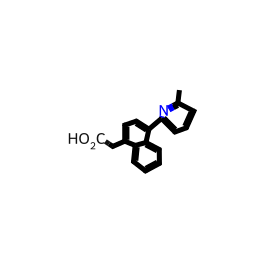 Cc1cccc(-c2ccc(CC(=O)O)c3ccccc23)n1